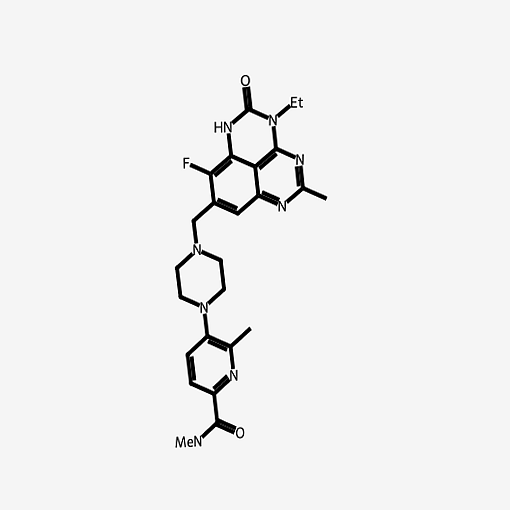 CCN1C(=O)Nc2c(F)c(CN3CCN(c4ccc(C(=O)NC)nc4C)CC3)cc3nc(C)nc1c23